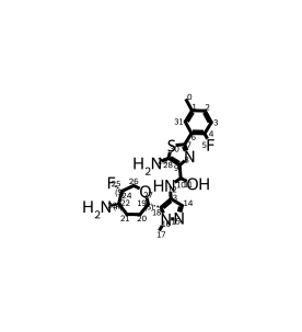 Cc1ccc(F)c(-c2nc(C(O)Nc3cnn(C)c3[C@@H]3CC[C@@H](N)[C@H](F)CO3)c(N)s2)c1